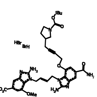 Br.Br.COc1cc(C(=O)O)cc2nc(N)n(CC=CCn3c(N)nc4cc(C(N)=O)cc(OCC#CCC5CCN(C(=O)OC(C)(C)C)C5)c43)c12